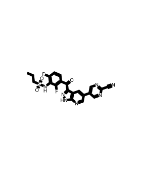 CCCS(=O)(=O)Nc1c(F)ccc(C(=O)c2n[nH]c3ncc(-c4cnc(C#N)nc4)cc23)c1F